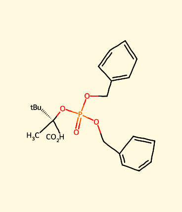 CC(C)(C)[C@](C)(OP(=O)(OCc1ccccc1)OCc1ccccc1)C(=O)O